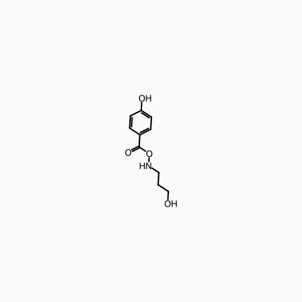 O=C(ONCCCO)c1ccc(O)cc1